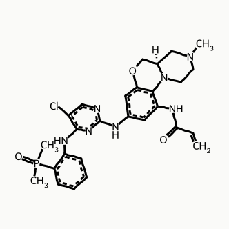 C=CC(=O)Nc1cc(Nc2ncc(Cl)c(Nc3ccccc3P(C)(C)=O)n2)cc2c1N1CCN(C)C[C@@H]1CO2